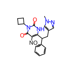 Cn1cc(CC(c2ccccc2)c2[nH]c(=O)n(C3CCC3)c(=O)c2[N+](=O)[O-])cn1